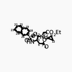 CCOC(=O)CNC(=O)C(CC(=O)OC1CC1)NS(=O)(=O)c1ccc2ccccc2c1